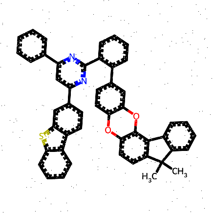 CC1(C)c2ccccc2-c2c1ccc1c2Oc2cc(-c3ccccc3-c3nc(-c4ccccc4)cc(-c4ccc5c(c4)sc4ccccc45)n3)ccc2O1